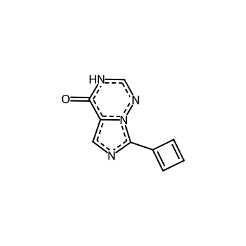 O=c1[nH]cnn2c(C3=CC=C3)ncc12